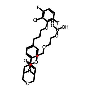 O=C(OCCOCCON(O)O)N1C2C=C(c3ccc(CCCOc4c(F)ccc(F)c4Cl)cc3)CC1COC2